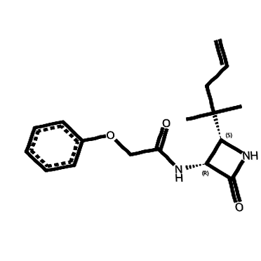 C=CCC(C)(C)[C@@H]1NC(=O)[C@@H]1NC(=O)COc1ccccc1